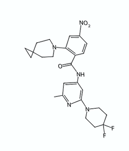 Cc1cc(NC(=O)c2ccc([N+](=O)[O-])cc2N2CCC3(CC2)CC3)cc(N2CCC(F)(F)CC2)n1